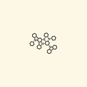 c1ccc(N2c3ccccc3B3c4c2cc(-n2c5ccccc5c5ccccc52)cc4-n2c4ccccc4c4c2c3cc2c3ccccc3n(-c3ccccc3)c24)cc1